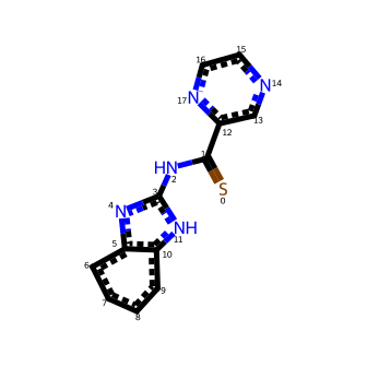 S=C(Nc1nc2ccccc2[nH]1)c1cnccn1